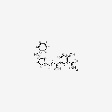 NC(=O)c1cc(C(O)CN[C@H]2CC[C@H](Nc3ccccc3)C2)ccc1O